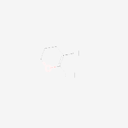 CC1=C(C)OCCC1